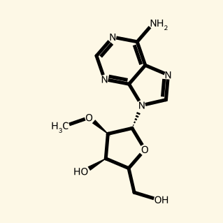 CO[C@@H]1[C@H](O)C(CO)O[C@H]1n1cnc2c(N)ncnc21